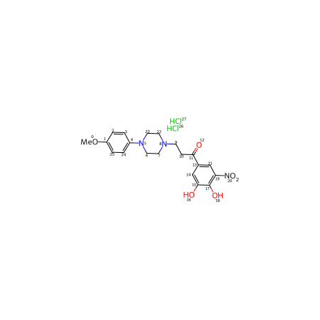 COc1ccc(N2CCN(CCC(=O)c3cc(O)c(O)c([N+](=O)[O-])c3)CC2)cc1.Cl.Cl